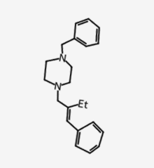 CC/C(=C\c1ccccc1)CN1CCN(Cc2ccccc2)CC1